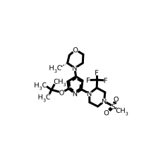 C[C@@H]1COCCN1c1cc(OC(C)(C)C)nc(N2CCN(S(C)(=O)=O)CC2C(F)(F)F)c1